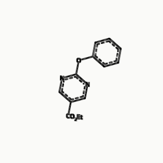 CCOC(=O)c1cnc(Oc2ccccc2)nc1